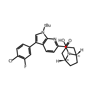 CC(C)(C)n1cc(-c2ccc(Cl)c(F)c2)c2ccc(C(=O)N3[C@@H]4CC[C@H]3CC(O)C4)nc21